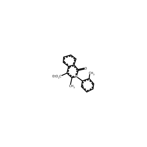 CCOC(=O)c1c(C)n(-c2ccccc2C)c(=O)c2ccccc12